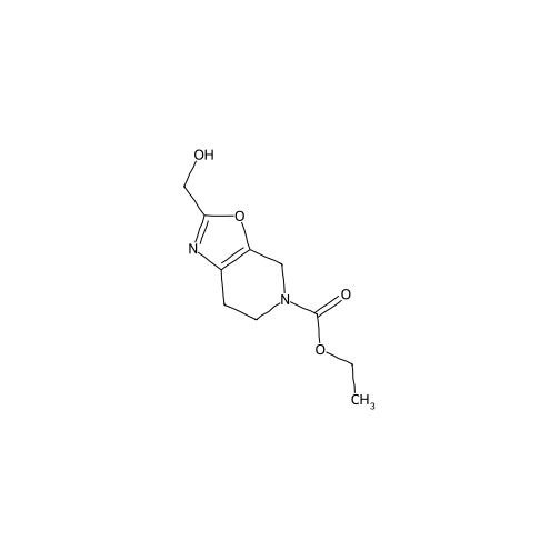 CCOC(=O)N1CCc2nc(CO)oc2C1